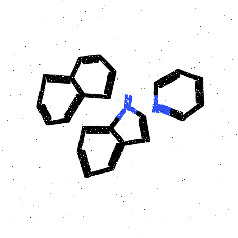 c1ccc2[nH]ccc2c1.c1ccc2ccccc2c1.c1ccncc1